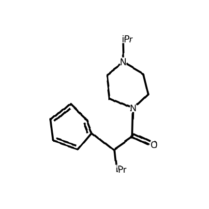 CC(C)C(C(=O)N1CCN(C(C)C)CC1)c1ccccc1